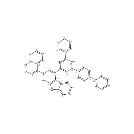 C1=CC(c2nc(C3=CC(c4cccc5ccccc45)Cc4oc5ccccc5c43)nc(-c3ccc(-c4ccccc4)cc3)n2)=CCC1